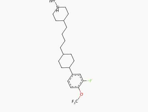 CCC[SiH]1CCC(CCCCC2CCC(c3ccc(OC(F)(F)F)c(F)c3)CC2)CC1